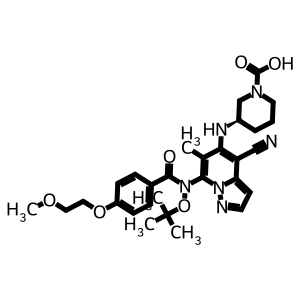 COCCOc1ccc(C(=O)N(OC(C)(C)C)c2c(C)c(N[C@@H]3CCCN(C(=O)O)C3)c(C#N)c3ccnn23)cc1